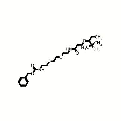 CCC(OCCC(=O)NCCOCCOCCNC(=O)OCc1ccccc1)C(C)(C)C